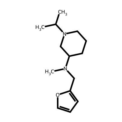 CC(C)N1CCCC(N(C)Cc2ccco2)C1